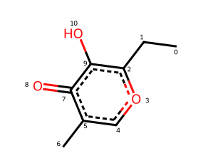 CCc1occ(C)c(=O)c1O